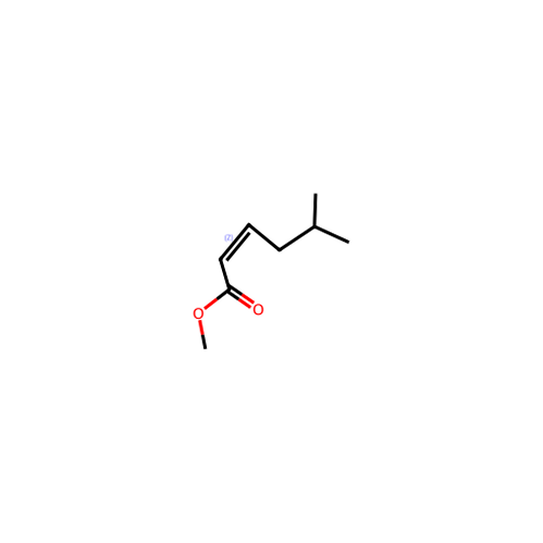 COC(=O)/C=C\CC(C)C